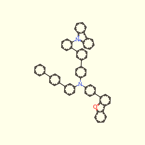 c1ccc(-c2ccc(-c3cccc(N(c4ccc(-c5cccc(-c6ccccc6-n6c7ccccc7c7ccccc76)c5)cc4)c4ccc(-c5cccc6c5oc5ccccc56)cc4)c3)cc2)cc1